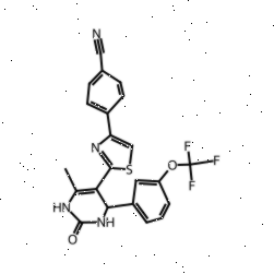 CC1=C(c2nc(-c3ccc(C#N)cc3)cs2)C(c2cccc(OC(F)(F)F)c2)NC(=O)N1